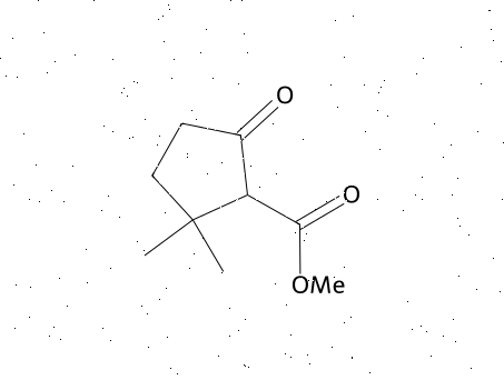 COC(=O)C1C(=O)CCC1(C)C